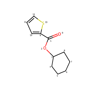 O=C(OC1CCCCC1)c1cccs1